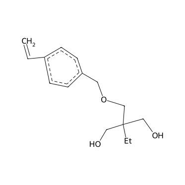 C=Cc1ccc(COCC(CC)(CO)CO)cc1